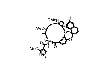 COc1nn(C)cc1C(=O)NS1(=O)=NC(=O)c2ccc3c(c2)N(C[C@@H]2CC[C@H]2[C@@H](OC)CC[C@H](OC)[C@H](C)C1)C[C@@]1(CCCc2cc(Cl)ccc21)CO3